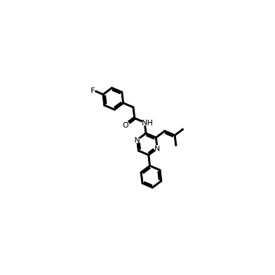 CC(C)=Cc1nc(-c2ccccc2)cnc1NC(=O)Cc1ccc(F)cc1